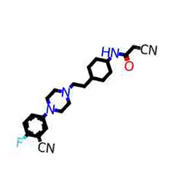 N#CCC(=O)NC1CCC(CCN2CCN(c3ccc(F)c(C#N)c3)CC2)CC1